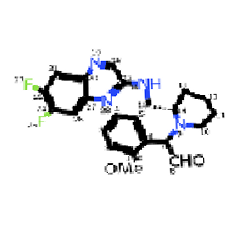 COc1ccccc1C(C=O)N1CCCC[C@H]1CNc1cnc2cc(F)c(F)cc2n1